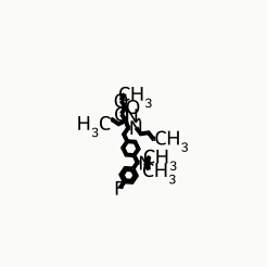 CCCCN1C=NC(CCC)(OC(=O)OC)C1CC1CCC(C(c2ccc(F)cc2)N(C)C)CC1